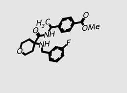 COC(=O)c1ccc(C(C)NC(=O)C2(NCc3cccc(F)c3)CCOCC2)cc1